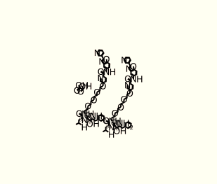 CC(C)C[C@H](NC(=O)[C@@H](O)[C@H](N)Cc1ccccc1)C(=O)NCCOCCOCCOCCOc1ccc(C(=O)Nc2ccc3oc(-c4cccnc4)nc3c2)nc1.CC(C)C[C@H](NC(=O)[C@@H](O)[C@H](N)Cc1ccccc1)C(=O)NCCOCCOCCOCCOc1ccc(C(=O)Nc2ccc3oc(-c4cccnc4)nc3c2)nc1.O=CO.O=CO